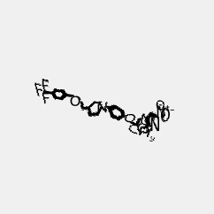 CC1(COc2ccc(N3CCC(CCOCc4ccc(C(F)(F)F)cc4)CC3)cc2)Cn2cc([N+](=O)[O-])nc2O1